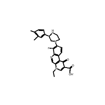 CCn1cc(C(=O)O)c(=O)c2c3ccc(N4CCNC(c5ccc(C)c(C)c5)C4)c(F)c3ncc21